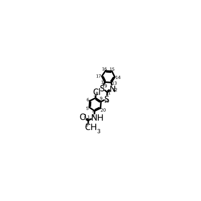 CC(=O)Nc1ccc(Cl)c(Sc2nc3ccccc3s2)c1